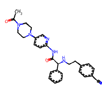 CC(=O)N1CCN(c2ccc(NC(=O)[C@@H](NCCc3ccc(C#N)cc3)c3ccccc3)nc2)CC1